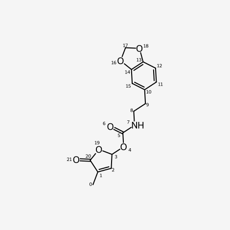 CC1=CC(OC(=O)NCCc2ccc3c(c2)OCO3)OC1=O